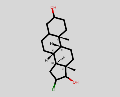 C[C@]12CCC(O)CC1CC[C@@H]1[C@H]2CC[C@]2(C)C(O)C(Cl)C[C@@H]12